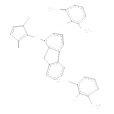 CC1=[C]([Zr+2][c]2cccc3c2Cc2ccccc2-3)C(C)C=C1.COc1cccc(OC)c1[O-].COc1cccc(OC)c1[O-]